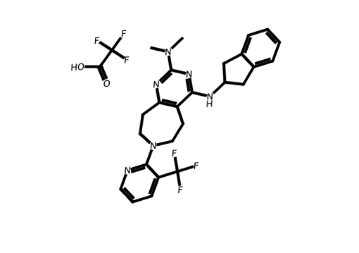 CN(C)c1nc2c(c(NC3Cc4ccccc4C3)n1)CCN(c1ncccc1C(F)(F)F)CC2.O=C(O)C(F)(F)F